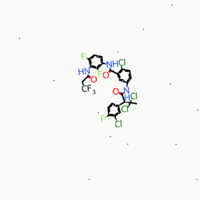 CC(Cl)(Cl)[C@H](C(=O)Nc1ccc(Cl)c(C(=O)Nc2ccc(F)c(NC(=O)CC(F)(F)F)c2F)c1)c1ccc(F)c(Cl)c1